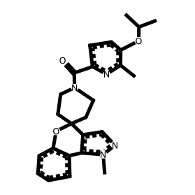 Cc1nc(C(=O)N2CCC3(CC2)Oc2ccccc2-c2c3cnn2C)ccc1OC(C)C